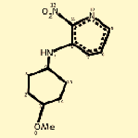 COC1CCC(Nc2cccnc2[N+](=O)[O-])CC1